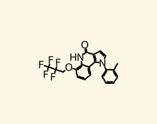 Cc1ccccc1-n1ccc2c(=O)[nH]c3c(OCC(F)(F)C(F)(F)F)cccc3c21